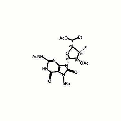 CCCCn1c(=O)n([C@@H]2O[C@H](C(CC)OC(C)=O)[C@H](F)[C@H]2OC(C)=O)c2nc(NC(C)=O)[nH]c(=O)c21